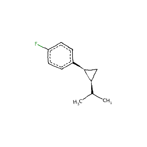 CC(C)[C@@H]1C[C@@H]1c1ccc(F)cc1